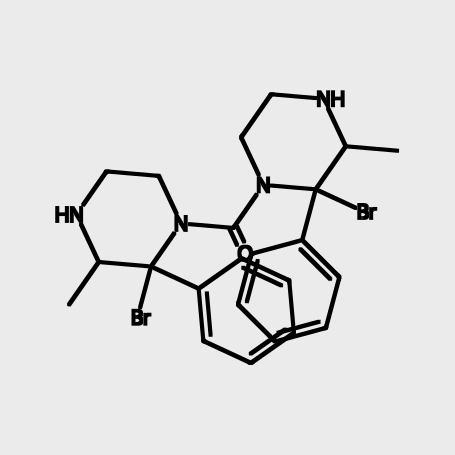 CC1NCCN(C(=O)N2CCNC(C)C2(Br)c2ccccc2)C1(Br)c1ccccc1